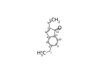 C=CC1=Cc2cc(CC)ccc2C1=O